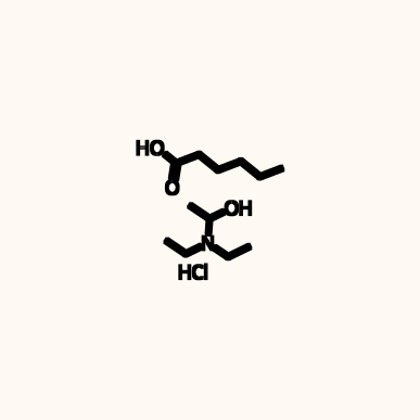 CCCCCC(=O)O.CCN(CC)C(C)O.Cl